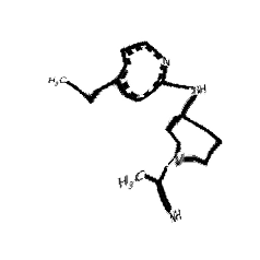 CCc1ccnc(NC2CCN(C(C)=N)C2)c1